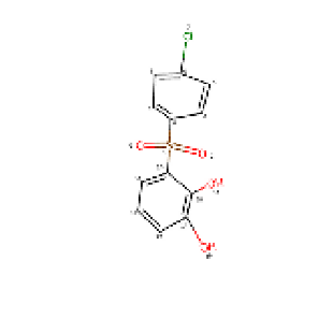 O=S(=O)(c1ccc(Cl)cc1)c1cccc(O)c1O